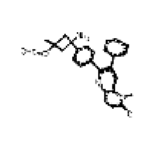 Cn1c(=O)ccc2nc(-c3ccc(C4(N)CC(C)(OC=O)C4)cc3)c(-c3ccccc3)cc21